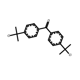 CC(C)(Cl)c1ccc(C(=O)c2ccc(C(C)(C)Cl)cc2)cc1